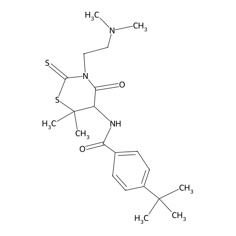 CN(C)CCN1C(=O)C(NC(=O)c2ccc(C(C)(C)C)cc2)C(C)(C)SC1=S